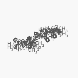 CC[C@H](C)[C@H](NC(=O)[C@@H](NC(=O)[C@H](Cc1ccccc1)NC(=O)[C@H](CC(C)C)N(C)C(=O)[C@@H](NC(=O)NC(=O)[C@@H]1CCCN1C(=O)[C@H](CC(C)C)NC(=O)[C@H](Cc1ccccc1)N(C)C(=O)[C@@H](NC(=O)[C@H](Cc1ccccc1)N(C)C(=O)[C@H](C)N(C)C(=O)[C@H](C)NC(C)=O)[C@@H](C)O)[C@@H](C)CC)C(C)C)C(=O)N1CCCCC1